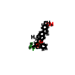 CC(CC(CC1CCC2C3CC=C4C[C@@](C)(O)CCC4C3CCC12C)S(=O)(=O)c1ccccc1)C(F)(F)F